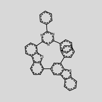 c1ccc(-c2nc(-c3ccccc3)nc(-c3cccc4c3sc3c(-c5cc(-c6ccccc6)c6sc7ccccc7c6c5)cccc34)n2)cc1